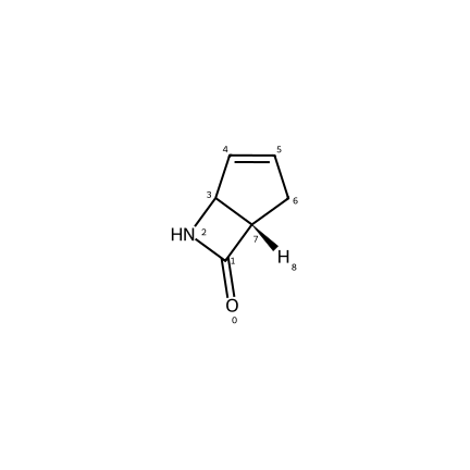 O=C1NC2C=CC[C@H]12